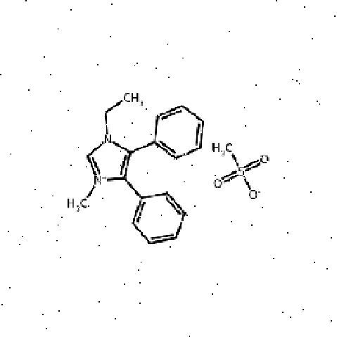 CCn1c[n+](C)c(-c2ccccc2)c1-c1ccccc1.CS(=O)(=O)[O-]